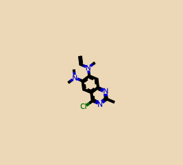 C=CN(C)c1cc2nc(C)nc(Cl)c2cc1N(C)C